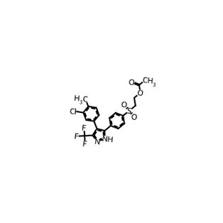 CC(=O)OCCS(=O)(=O)c1ccc(-c2[nH]nc(C(F)(F)F)c2-c2ccc(C)c(Cl)c2)cc1